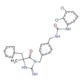 CC1(Cc2ccccc2)NC(=N)N(Cc2ccc(CNC(=O)Nc3cccc(Cl)c3Cl)cc2)C1=O